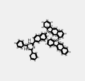 C1=CCC(C2N=C(c3ccc4cc(-n5c6c(c7cc8cccc(-n9c%10ccccc%10c%10cc%11ccccc%11cc%109)c8cc75)C=CCC6)ccc4c3)NC(c3ccccc3)N2)C=C1